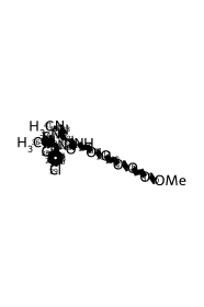 COCCOCCOCCOCCOCCOCCNC(=O)C[C@@H]1N=C(c2ccc(Cl)cc2)c2c(sc(C)c2C)-n2c(C)nnc21